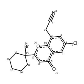 N#CCc1cc(Cl)cc2c(=O)cc(C3(Br)CCCCC3)oc12